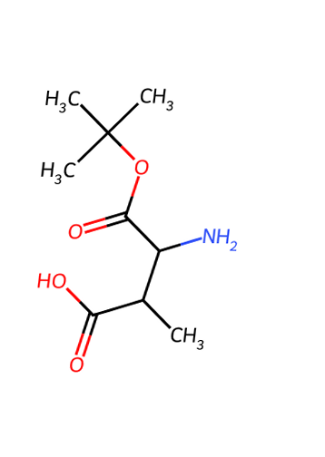 CC(C(=O)O)C(N)C(=O)OC(C)(C)C